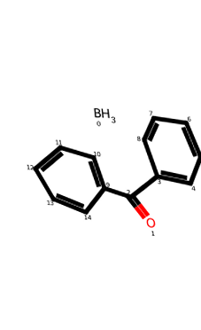 B.O=C(c1ccccc1)c1ccccc1